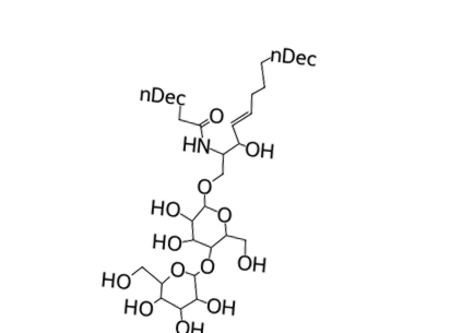 CCCCCCCCCCCCCC=CC(O)C(COC1OC(CO)C(OC2OC(CO)C(O)C(O)C2O)C(O)C1O)NC(=O)CCCCCCCCCCC